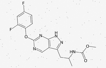 COC(=O)NC(C)Cc1n[nH]c2nc(Oc3ccc(F)cc3F)ncc12